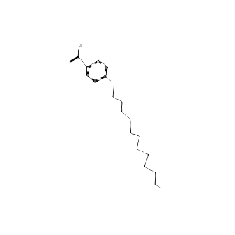 NC(=O)c1ccc(OCCCCCCCCCCCO)cc1